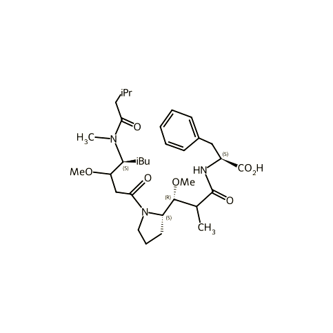 CCC(C)[C@@H](C(CC(=O)N1CCC[C@H]1[C@H](OC)C(C)C(=O)N[C@@H](Cc1ccccc1)C(=O)O)OC)N(C)C(=O)CC(C)C